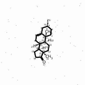 C[C@]12CC[C@H](F)CC1=CC[C@@H]1[C@@H]2CC[C@]2(C)C(=O)CC[C@@H]12